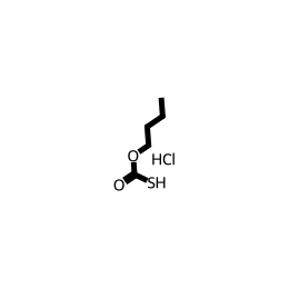 CCCCOC(=O)S.Cl